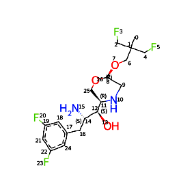 CC(CF)(CF)CO[C@H]1CN[C@@H]([C@@H](O)[C@@H](N)Cc2cc(F)cc(F)c2)CO1